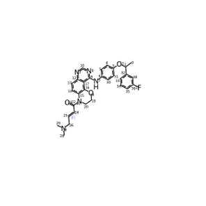 CC(Oc1ccc(Nc2ncnc3ccc4c(c23)OCCN4C(=O)/C=C/CN(C)C)cc1)c1cccc(F)c1